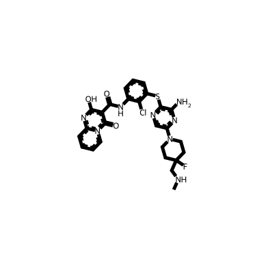 CNCC1(F)CCN(c2cnc(Sc3cccc(NC(=O)c4c(O)nc5ccccn5c4=O)c3Cl)c(N)n2)CC1